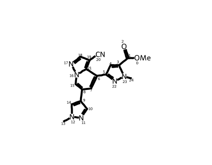 COC(=O)c1cc(-c2cc(-c3cnn(C)c3)cn3ncc(C#N)c23)nn1C